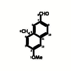 C.COc1ccc2cc(C=O)ccc2c1